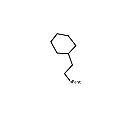 [CH2]CCCCCCC1CCCCC1